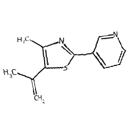 C=C(C)c1sc(-c2cccnc2)nc1C